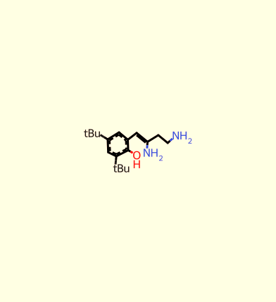 CC(C)(C)c1cc(C=C(N)CCN)c(O)c(C(C)(C)C)c1